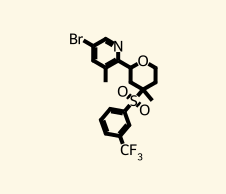 Cc1cc(Br)cnc1C1CC(C)(S(=O)(=O)c2cccc(C(F)(F)F)c2)CCO1